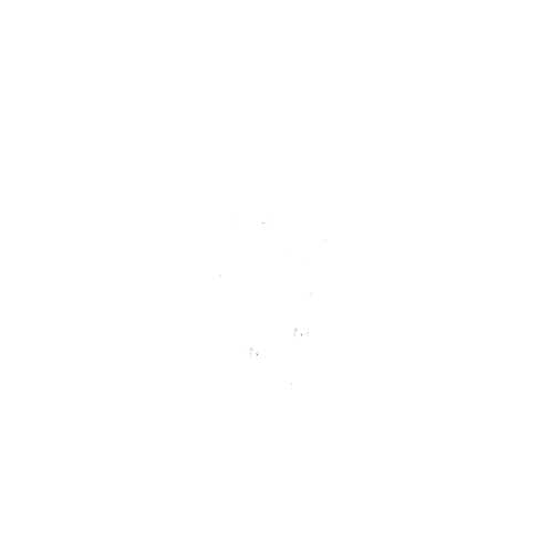 C=C(c1ccnc(Cl)n1)C(CCOC)c1ccccc1